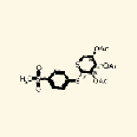 CC(=O)O[C@@H]1[C@@H](OC(C)=O)[C@H](Sc2ccc(S(C)(=O)=O)cc2)SC[C@H]1OC(C)=O